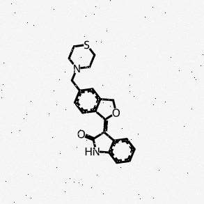 O=C1Nc2ccccc2C1=C1OCc2cc(CN3CCSCC3)ccc21